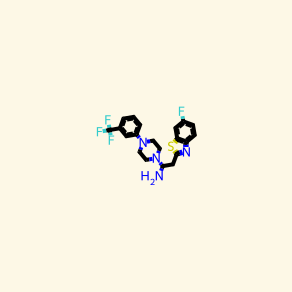 NC(Cc1nc2ccc(F)cc2s1)N1CCN(c2cccc(C(F)(F)F)c2)CC1